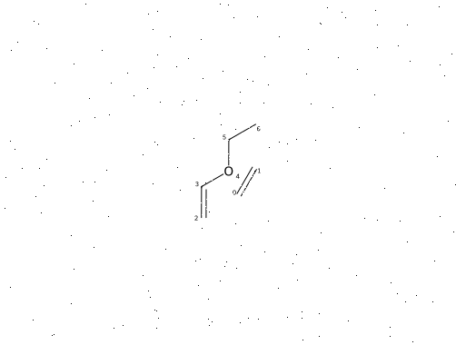 C=C.C=COCC